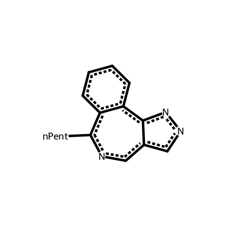 CCCCCc1ncc2cnnc-2c2ccccc12